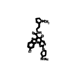 CC(=O)NC1CCN(c2ncc3c(=O)c(C(=O)NCCC4CCCN4C)c4sc5ccc(Cl)cc5n4c3n2)C1